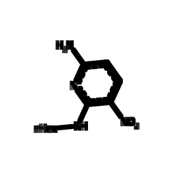 CCCCCCNc1nc(N)ccc1[N+](=O)[O-]